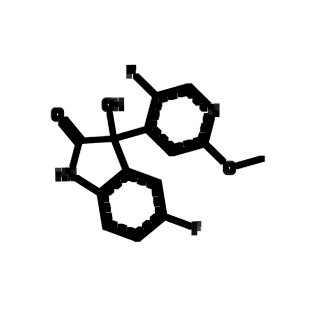 COc1cc(C2(O)C(=O)Nc3ccc(F)cc32)c(F)cn1